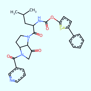 CC(C)CC(NC(=O)Oc1ccc(-c2ccccc2)s1)C(=O)N1CCC2C1C(=O)CN2C(=O)c1cccnc1